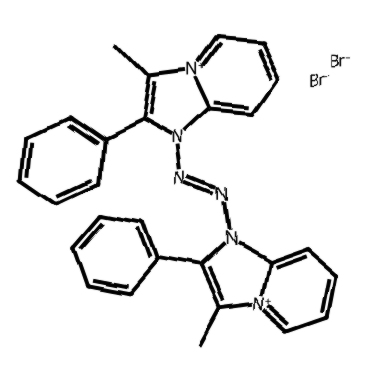 Cc1c(-c2ccccc2)n(/N=N/n2c(-c3ccccc3)c(C)[n+]3ccccc23)c2cccc[n+]12.[Br-].[Br-]